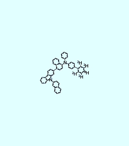 [2H]c1c([2H])c([2H])c(-c2ccc(N(c3ccccc3)c3ccc(-c4ccc5c6ccccc6n(-c6ccc7ccccc7c6)c5c4)c4ccccc34)cc2)c([2H])c1[2H]